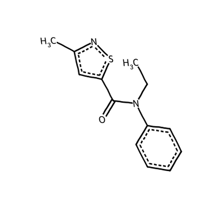 CCN(C(=O)c1cc(C)ns1)c1ccccc1